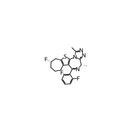 Cc1nnc2n1-c1sc3c(c1C(c1c(F)cccc1F)=N[C@H]2C)CCC[C@H](F)C3